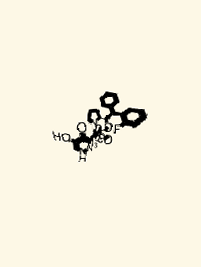 CS(=O)(=O)OC(C(c1ccccc1)c1ccccc1F)[C@H]1CCCN1C(=O)c1n[nH]cc(O)c1=O